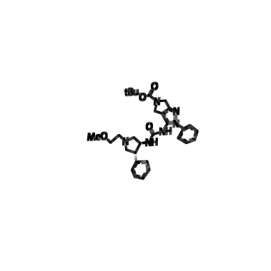 COCCN1C[C@@H](NC(=O)Nc2c3c(nn2-c2ccccc2)CN(C(=O)OC(C)(C)C)C3)[C@H](c2ccccc2)C1